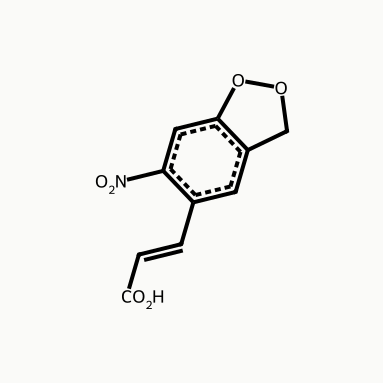 O=C(O)C=Cc1cc2c(cc1[N+](=O)[O-])OOC2